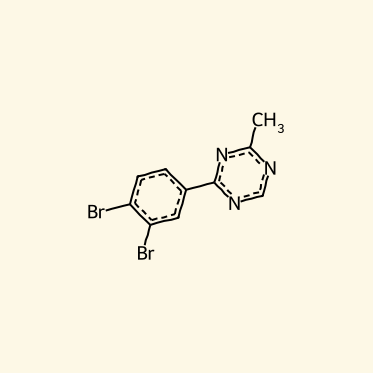 Cc1ncnc(-c2ccc(Br)c(Br)c2)n1